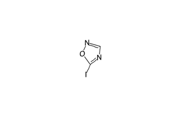 Ic1ncno1